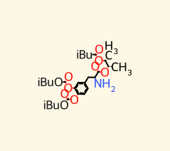 CCC(C)C(=O)OC(C)[C@H](C)OC(=O)[C@@H](N)Cc1ccc(OC(=O)OCC(C)C)c(OC(=O)OCC(C)C)c1